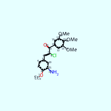 CCOc1ccc(C=C(Cl)C(=O)c2cc(OC)c(OC)c(OC)c2)cc1N